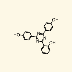 Oc1ccc(-c2nc(-c3ccc(O)cc3)nc(-c3ccccc3O)n2)cc1